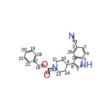 N#Cc1ccc2[nH]cc(C3CCN(C(=O)OCc4ccccc4)CC3)c2c1